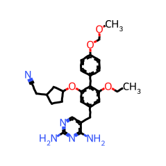 CCOc1cc(Cc2cnc(N)nc2N)cc(OC2CCC(CC#N)C2)c1-c1ccc(OCOC)cc1